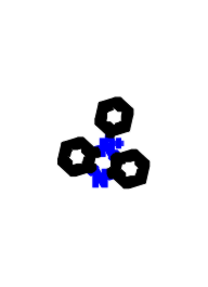 c1ccc(-[n+]2c3ccccc3nc3ccccc32)cc1